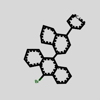 Brc1c2ccccc2c(-c2ccc(-c3ccccc3)c3ccccc23)c2ccccc12